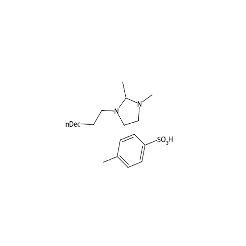 CCCCCCCCCCCCN1CCN(C)C1C.Cc1ccc(S(=O)(=O)O)cc1